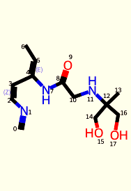 C=N/C=C\C(=C/C)NC(=O)CNC(C)(CO)CO